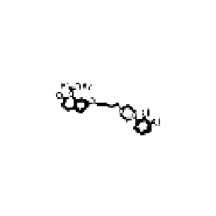 CC(=O)OC(C(C)C)N1C(=O)CCc2ccc(OCCCCN3CCN(c4cccc(Cl)c4Cl)CC3)cc21